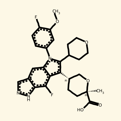 COc1cc(-n2c(C3CCOCC3)c([C@H]3CC[C@](C)(C(=O)O)OC3)c3c(F)c4[nH]ncc4cc32)ccc1F